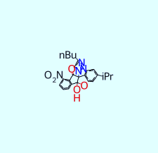 CCCCc1cn(C23C(=O)c4c([N+](=O)[O-])cccc4C2(O)Oc2cc(C(C)C)ccc23)nn1